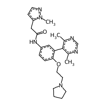 Cc1ncnc(C)c1-c1cc(NC(=O)Cc2ccnn2C)ccc1OCCN1CCCC1